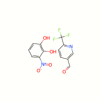 O=Cc1ccc(C(F)(F)F)nc1.O=[N+]([O-])c1cccc(O)c1O